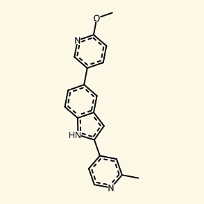 COc1ccc(-c2ccc3[nH]c(-c4ccnc(C)c4)cc3c2)cn1